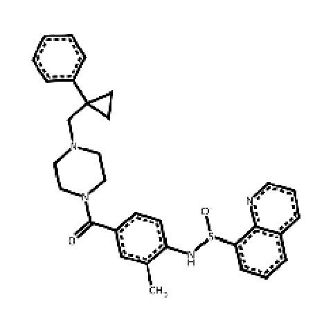 Cc1cc(C(=O)N2CCN(CC3(c4ccccc4)CC3)CC2)ccc1N[S+]([O-])c1cccc2cccnc12